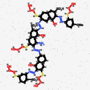 COc1ccc(N=Nc2c(S(=O)(=O)O)cc3cc(SOOO)c(N=Nc4c(S(=O)(=O)O)cc5cc(SOOO)c(N=Nc6ccc7cc(SOOO)c(N=Nc8cc(SOOO)ccc8S(=O)(=O)O)c(O)c7c6)c(N)c5c4O)cc3c2O)c(SOOO)c1